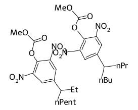 CCCCC(CCC)c1cc([N+](=O)[O-])c(OC(=O)OC)c([N+](=O)[O-])c1.CCCCCC(CC)c1cc([N+](=O)[O-])c(OC(=O)OC)c([N+](=O)[O-])c1